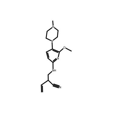 C=CC(C#N)CNc1ccc(N2CCN(C)CC2)c(OC)n1